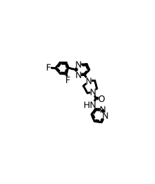 O=C(Nc1cccnn1)N1CCN(c2ccnc(-c3ccc(F)cc3F)n2)CC1